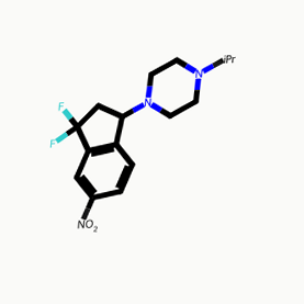 CC(C)N1CCN(C2CC(F)(F)c3cc([N+](=O)[O-])ccc32)CC1